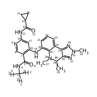 [2H]C([2H])([2H])NC(=O)c1cnc(NC(=O)C2CC2)cc1Nc1cccc2c1N(C)[C@H](C)c1nn(C)nc1-2